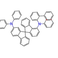 c1ccc(-c2ccccc2N(c2ccccc2)c2cccc3c2-c2ccccc2C32c3ccccc3-c3ccc(N(c4ccccc4)c4ccccc4)cc32)cc1